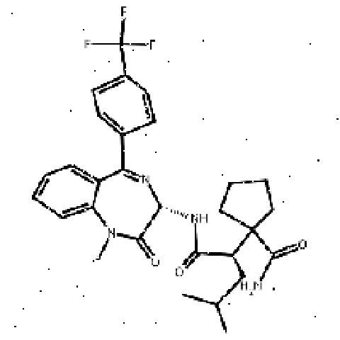 CC(C)C[C@@H](C(=O)N[C@H]1N=C(c2ccc(C(F)(F)F)cc2)c2ccccc2N(C)C1=O)C1(C(N)=O)CCCC1